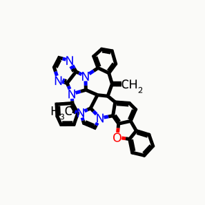 C=C1c2ccccc2N2c3nccnc3N(c3ccccc3)C2C2C1c1ccc3c(oc4ccccc43)c1N1C=CN(C)C21